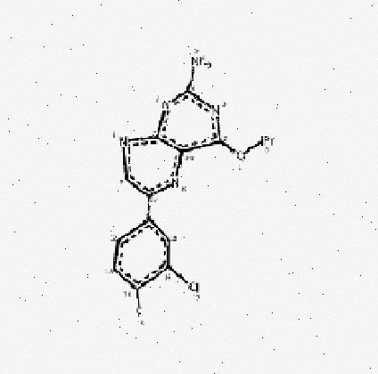 CC(C)Oc1nc(N)nc2ncc(-c3ccc(F)c(Cl)c3)nc12